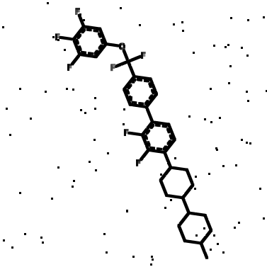 CC1CCC(C2CCC(c3ccc(-c4ccc(C(F)(F)Oc5cc(F)c(F)c(F)c5)cc4)c(F)c3F)CC2)CC1